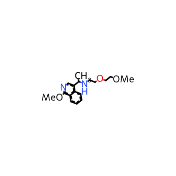 COCCOCCNC(C)c1cnc(OC)c2ccccc12